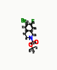 CC(C)(C)OC(=O)N1CCc2cc(Br)c(F)cc2C1